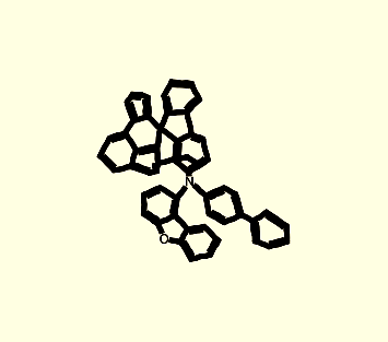 CCc1ccc2cccc3c2c1C1(c2ccccc2-c2ccc(N(c4ccc(-c5ccccc5)cc4)c4cccc5oc6ccccc6c45)cc21)c1ccccc1-3